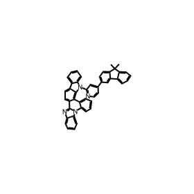 CC1(C)c2ccccc2-c2cc(-c3ccnc(-n4c5ccccc5c5ccc6c(c7ccccc7n7c8ccccc8nc67)c54)c3)ccc21